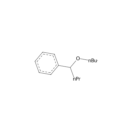 CCC[CH]OC(CCC)c1ccccc1